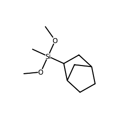 CO[Si](C)(OC)C1CC2CCC1C2